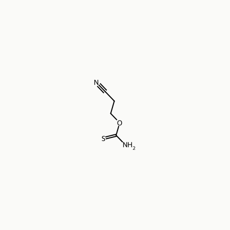 N#CCCOC(N)=S